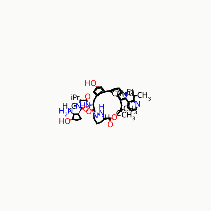 CCn1c(-c2cccnc2[C@H](C)OC)c2c3cc(ccc31)-c1cc(O)cc(c1)C[C@H](NC(=O)[C@H](C(C)C)N(C)C(=O)[C@H]1CC[C@@H](O)[C@H]1N)C(=O)N1CCC[C@H](N1)C(=O)OCC(C)(C)C2